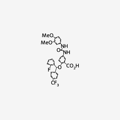 COc1ccc(NC(=O)Nc2ccc(OC(c3ccc(C(F)(F)F)cc3)c3ccccc3F)c(C(=O)O)c2)cc1OC